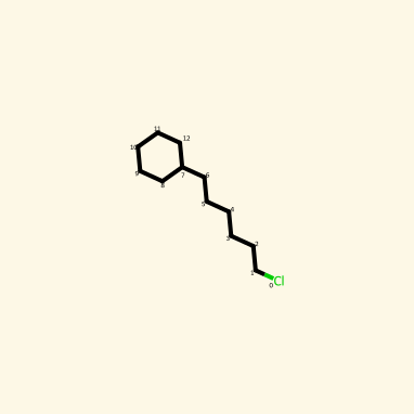 ClCCCCCCC1CCCCC1